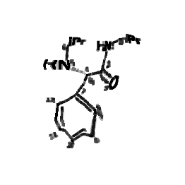 CC(C)NC(=O)[C@@H](NC(C)C)c1ccccc1